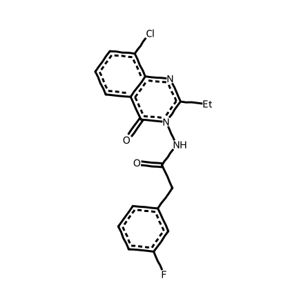 CCc1nc2c(Cl)cccc2c(=O)n1NC(=O)Cc1cccc(F)c1